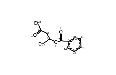 CCC(=O)CC(CC)OC(=O)c1ccccc1